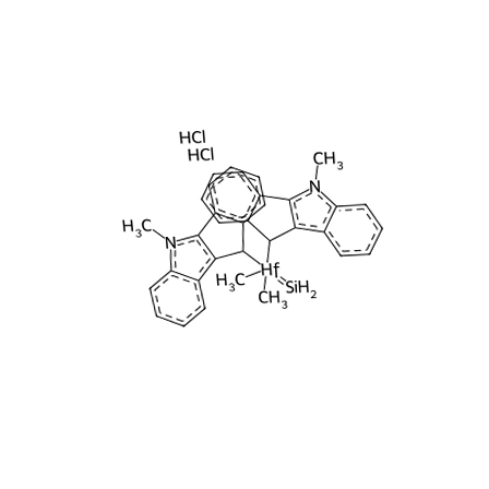 Cl.Cl.Cn1c2c(c3ccccc31)[CH]([Hf]([CH3])([CH3])(=[SiH2])[CH]1c3ccccc3-c3c1c1ccccc1n3C)c1ccccc1-2